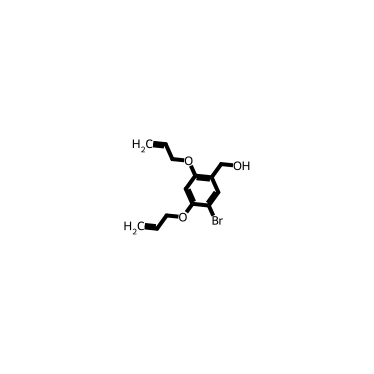 C=CCOc1cc(OCC=C)c(CO)cc1Br